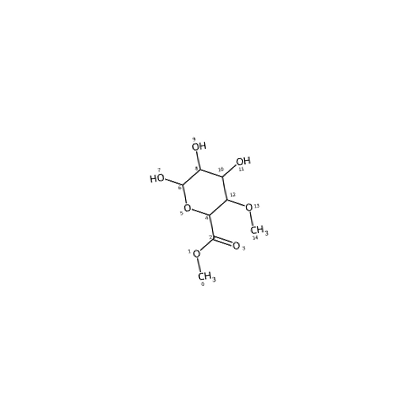 COC(=O)C1OC(O)C(O)C(O)C1OC